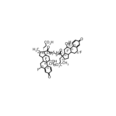 C[C@@H]1CC2C3C[C@H](F)C4=CC(=O)C=C[C@]4(C)[C@@]3(F)[C@@H](O)C[C@]2(C)[C@]1(CCC(=O)O)C(=O)SSSC(=O)[C@@]1(CCC(=O)O)[C@@H](C)CC2C3C[C@@H](F)C4=CC(=O)C=C[C@]4(C)[C@]3(F)[C@H](O)C[C@@]21C